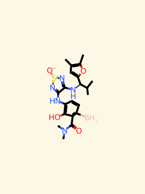 Bc1ccc(Nc2n[s+]([O-])nc2N[C@@H](c2cc(C)c(C)o2)C(C)C)c(O)c1C(=O)N(C)C